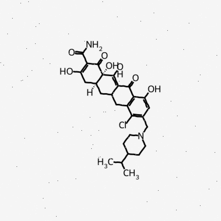 CC(C)C1CCN(Cc2cc(O)c3c(c2Cl)CC2C[C@H]4CC(O)=C(C(N)=O)C(=O)[C@@]4(O)C(O)=C2C3=O)CC1